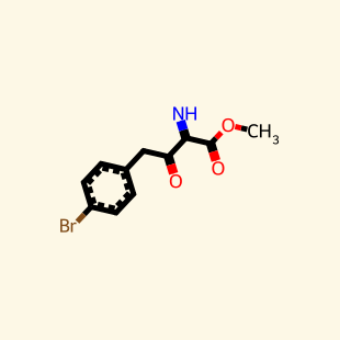 COC(=O)C(=N)C(=O)Cc1ccc(Br)cc1